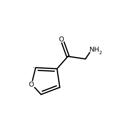 NCC(=O)c1[c]occ1